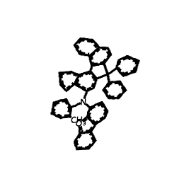 Cc1ccccc1N(c1cc2c(c3ccccc13)-c1c(ccc3ccccc13)C2(c1ccccc1)c1ccccc1)c1cccc2c1oc1ccccc12